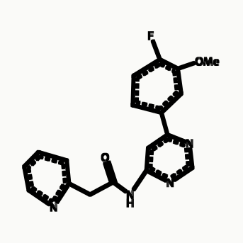 COc1cc(-c2cc(NC(=O)Cc3ccccn3)ncn2)ccc1F